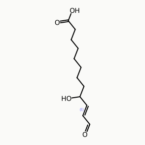 O=C/C=C/C(O)CCCCCCCC(=O)O